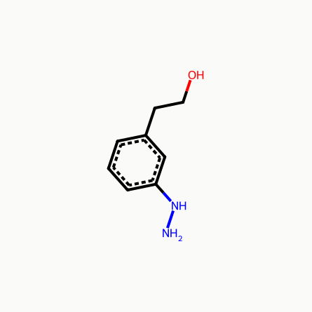 NNc1cccc(CCO)c1